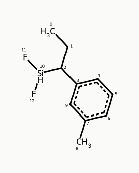 CCC(c1cccc(C)c1)[SiH](F)F